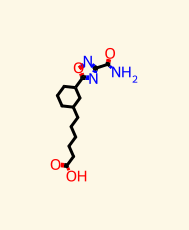 NC(=O)c1noc(C2CCCC(CCCCCC(=O)O)C2)n1